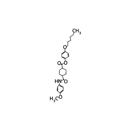 CCCCCCOc1ccc(OC(=O)C2CCC(C(=O)Nc3ccc(OC)cc3)CC2)cc1